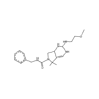 COCCNC1NC=C2C(CN(C(=O)NCc3ccccc3)C2(C)C)N1